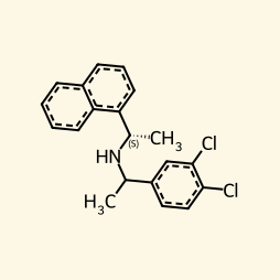 CC(N[C@@H](C)c1cccc2ccccc12)c1ccc(Cl)c(Cl)c1